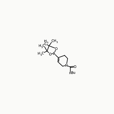 CCCCC(=O)N1CC=C(B2OC(C)(C)C(C)(C)O2)CC1